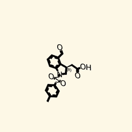 Cc1ccc(S(=O)(=O)N2C[C@H](CC(=O)O)c3c(C=O)cccc32)cc1